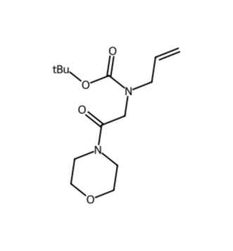 C=CCN(CC(=O)N1CCOCC1)C(=O)OC(C)(C)C